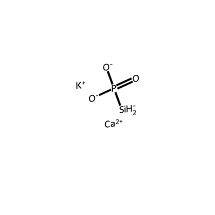 O=P([O-])([O-])[SiH2-].[Ca+2].[K+]